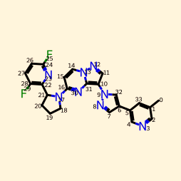 Cc1cncc(-c2cnn(-c3cnn4ccc(N5CCCC5c5nc(F)ccc5F)nc34)c2)c1